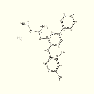 Cl.N#Cc1cnc(Oc2ccc(-c3ccccc3)cc2CC(N)CC(=O)O)c(F)c1